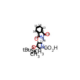 CC(C)(C)[Si](C)(C)O[C@H]1C[C@H](CN2C(=O)c3ccccc3C2=O)N(C(=O)O)C1